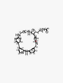 CC(=O)NCCCCC1C(=O)NCCCNc2ncc(cn2)-c2ccnc(c2)Nc2cccc(c2)CN2CCN1CC2